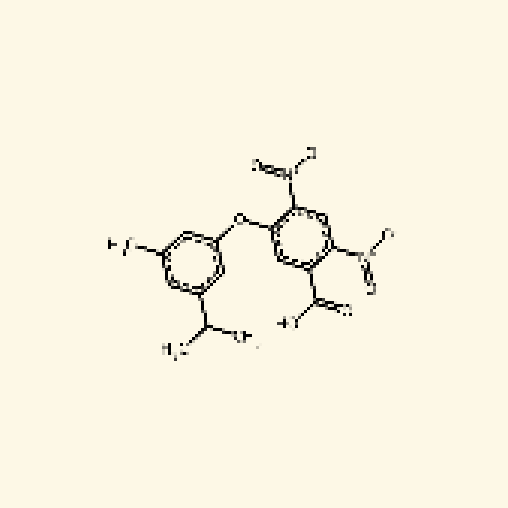 Cc1cc(Oc2cc(C(=O)O)c([N+](=O)[O-])cc2[N+](=O)[O-])cc(C(C)C)c1